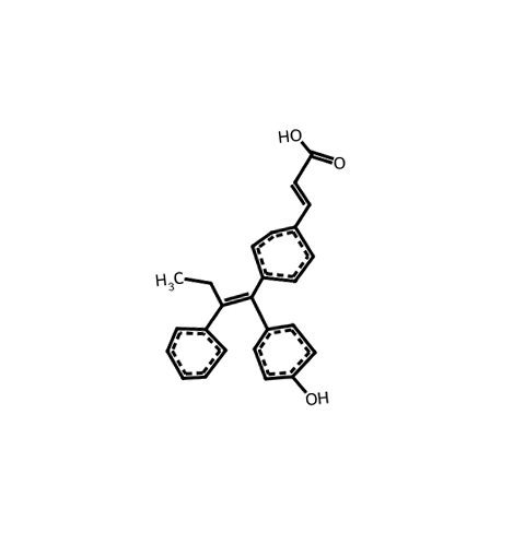 CC/C(=C(/c1ccc(O)cc1)c1ccc(/C=C/C(=O)O)cc1)c1ccccc1